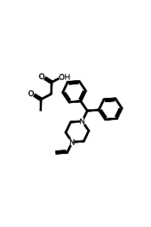 C=CN1CCN(C(c2ccccc2)c2ccccc2)CC1.CC(=O)CC(=O)O